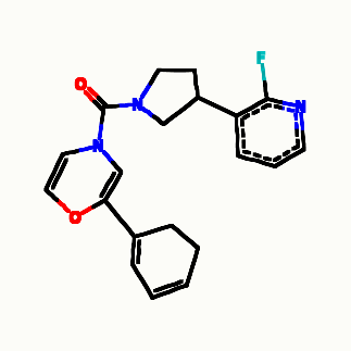 O=C(N1C=COC(C2=CC=CCC2)=C1)N1CCC(c2cccnc2F)C1